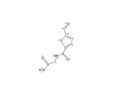 NC(=O)CNC(=O)c1ccc(C=O)s1